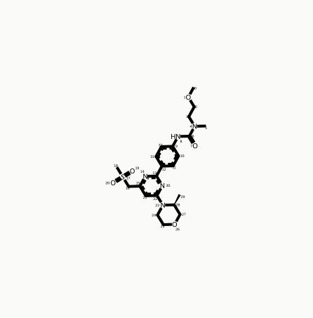 COCCN(C)C(=O)Nc1ccc(-c2nc(CS(C)(=O)=O)cc(N3CCOC[C@@H]3C)n2)cc1